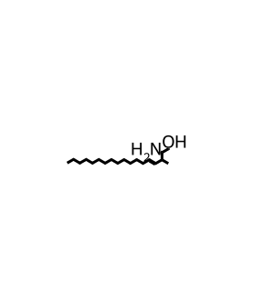 CCCCCCCCCCCCC/C=C/C(C)C(N)CO